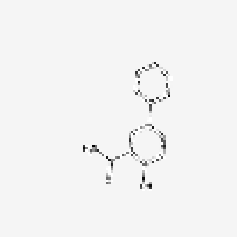 NC(=O)c1cc(-c2ccccc2)ccc1O